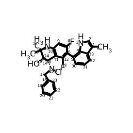 Cc1c[nH]c2c(-c3c(F)cc4c(c3F)[C@H](N(Cl)Cc3ccccc3)[C@@H](O)C(C)(C)N4)cccc12